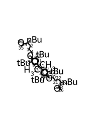 CCCCC(CCCOc1c(C(C)(C)C)cc(C(C)(C)c2cc(C(C)(C)C)c(OCCCC(CCCC)C3CO3)c(C(C)(C)C)c2)cc1C(C)(C)C)C1CO1